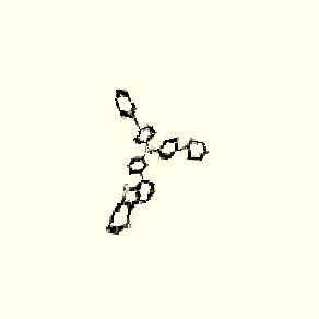 c1ccc(-c2ccc(N(c3ccc(-c4ccccc4)cc3)c3cccc(-c4cccc5c4sc4cccnc45)c3)cc2)cc1